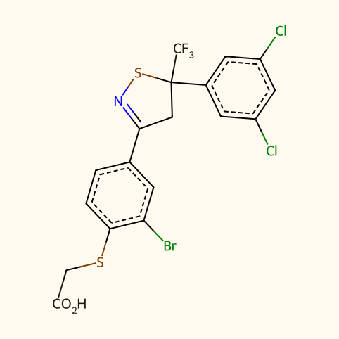 O=C(O)CSc1ccc(C2=NSC(c3cc(Cl)cc(Cl)c3)(C(F)(F)F)C2)cc1Br